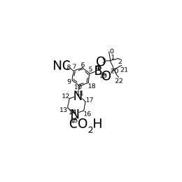 CC1(C)OB(c2cc(C#N)cc(N3CCN(C(=O)O)CC3)c2)OC1(C)C